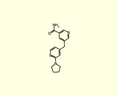 NC(=O)c1cncc(Cc2ccnc(N3CCCC3)c2)c1